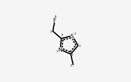 Cc1csc(CF)n1